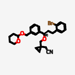 N#CCC1(CO[C@H](CCc2ccccc2Br)c2cccc(COC3CCCCO3)c2)CC1